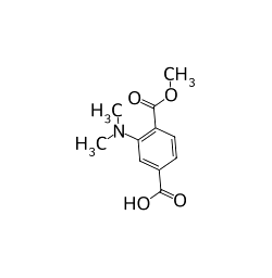 COC(=O)c1ccc(C(=O)O)cc1N(C)C